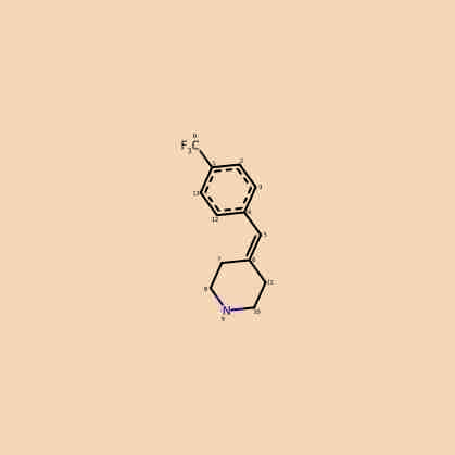 FC(F)(F)c1ccc(C=C2CC[N]CC2)cc1